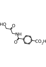 O=C(CO)CNC(=O)c1ccc(C(=O)O)cc1